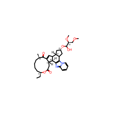 CC[C@H]1CCCC[C@@H](C)C(=O)C2=CC3[C@@H]4C[C@H](OC(O)[C@H](COC)OC)CC4c4c(nc5ccccn45)[C@H]3[C@@H]2CC(=O)O1